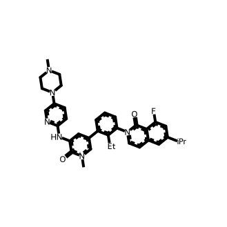 CCc1c(-c2cc(Nc3ccc(N4CCN(C)CC4)cn3)c(=O)n(C)c2)cccc1-n1ccc2cc(C(C)C)cc(F)c2c1=O